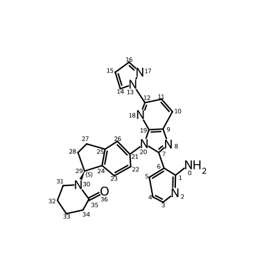 Nc1ncccc1-c1nc2ccc(-n3cccn3)nc2n1-c1ccc2c(c1)CC[C@@H]2N1CCCCC1=O